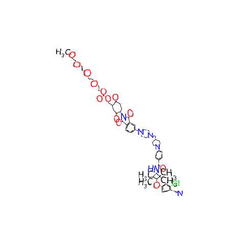 COCCOCCOCCOCCOC(=O)OCC1CC(=O)C(N2C(=O)c3ccc(N4CCN(CC5CCN(c6ccc(C(=O)N[C@H]7C(C)(C)[C@H](Oc8ccc(C#N)c(Cl)c8)C7(C)C)cc6)CC5)CC4)cc3C2=O)CCC1=O